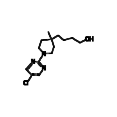 CC1(CCCCO)CCN(c2ncc(Cl)cn2)CC1